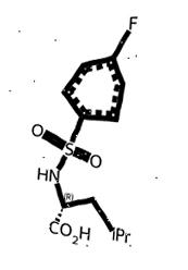 CC(C)C[C@@H](NS(=O)(=O)c1ccc(F)cc1)C(=O)O